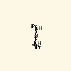 CC(C)NCCCOCCCNC(C)C(C)C